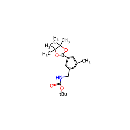 Cc1cc(CNC(=O)OC(C)(C)C)cc(B2OC(C)(C)C(C)(C)O2)c1